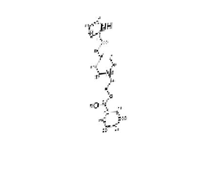 O=C(CCCN1CCC(CCc2ncc[nH]2)CC1)c1ccccc1